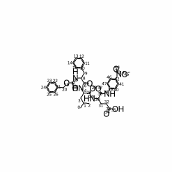 CC(C)CC(NC(=O)C(Cc1ccccc1)NC(=O)OCc1ccccc1)C(=O)NC(CCC(=O)O)C(=O)Nc1ccc([N+](=O)[O-])cc1